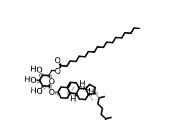 CCCCCCCCCCCCCCCCCC(=O)OC[C@H]1O[C@@H](O[C@H]2CC[C@@]3(C)C(=CC[C@H]4[C@@H]5CC[C@H](C(C)CCCC(C)C)[C@@]5(C)CC[C@@H]43)C2)[C@H](O)[C@@H](O)[C@@H]1O